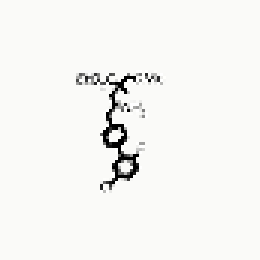 CCOC(=O)C(C)(COC)C[C@H](N)Cc1ccc(-c2cc(Cl)ccc2F)cc1